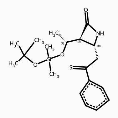 C[C@@H](O[Si](C)(C)OC(C)(C)C)[C@H]1C(=O)N[C@@H]1CC(=S)c1ccccc1